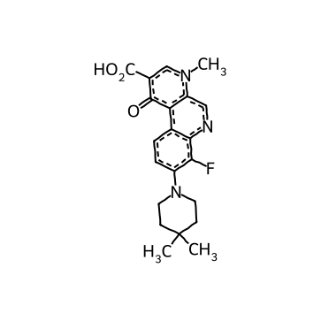 Cn1cc(C(=O)O)c(=O)c2c3ccc(N4CCC(C)(C)CC4)c(F)c3ncc21